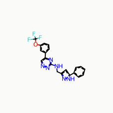 FC(F)(F)Oc1cccc(-c2cnnc(NCc3cc(-c4ccccc4)[nH]n3)n2)c1